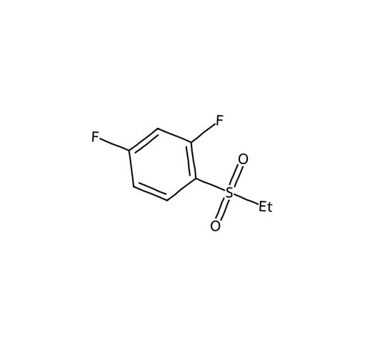 CCS(=O)(=O)c1ccc(F)cc1F